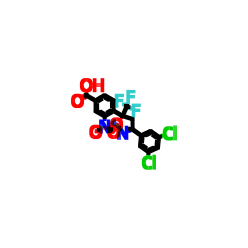 O=C(O)c1ccc(C2(C(F)(F)F)CC(c3cc(Cl)cc(Cl)c3)=NO2)c([N+](=O)[O-])c1